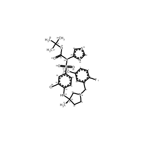 Cc1ccc(F)c(CN2CC[C@](C)(Nc3ccc(S(=O)(=O)N(C(=O)OC(C)(C)C)c4cscn4)cc3Cl)C2)c1